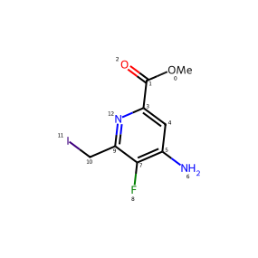 COC(=O)c1cc(N)c(F)c(CI)n1